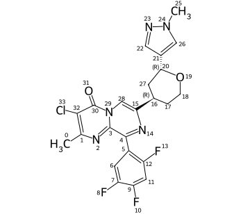 Cc1nc2c(-c3cc(F)c(F)cc3F)nc([C@@H]3CCO[C@@H](c4cnn(C)c4)C3)cn2c(=O)c1Cl